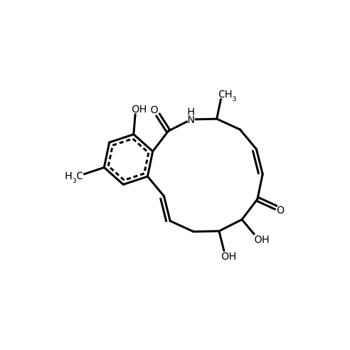 Cc1cc(O)c2c(c1)/C=C/CC(O)C(O)C(=O)/C=C\CC(C)NC2=O